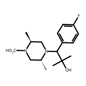 C[C@@H]1CN(C(=O)O)[C@@H](C)CN1C(c1ccc(F)cc1)C(C)(C)O